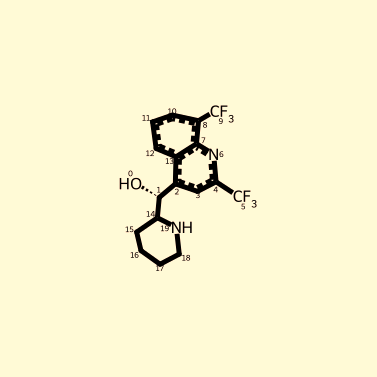 O[C@H](c1cc(C(F)(F)F)nc2c(C(F)(F)F)cccc12)C1CCCCN1